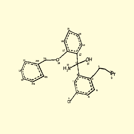 CC(C)Cc1ccc(Cl)cc1C(N)(O)c1ccccc1OCc1ccccc1